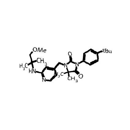 COCC(C)(C)Nc1cc(CN2C(=O)N(c3ccc(C(C)(C)C)cc3)C(=O)C2(C)C)ccn1